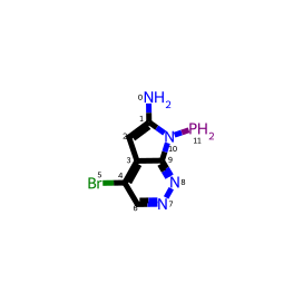 Nc1cc2c(Br)cnnc2n1P